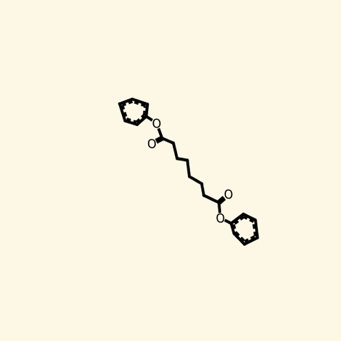 O=C(CCCCCCC(=O)Oc1ccccc1)Oc1ccccc1